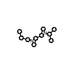 c1ccc(-c2cccc(-c3ccc(-n4c5ccccc5c5cc(-c6ccc7c(c6)c6ccccc6n7-c6cc(-c7ccccc7)cc(-c7ccccc7)c6)ccc54)cc3)c2)cc1